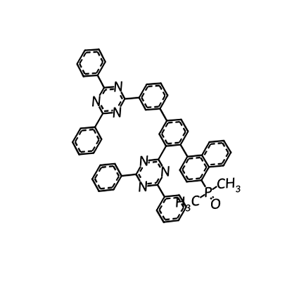 CP(C)(=O)c1ccc(-c2ccc(-c3cccc(-c4nc(-c5ccccc5)nc(-c5ccccc5)n4)c3)cc2-c2nc(-c3ccccc3)nc(-c3ccccc3)n2)c2ccccc12